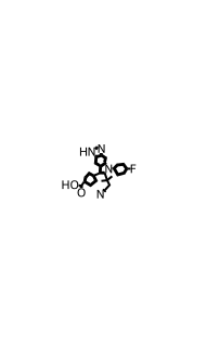 CC(C)(CC#N)c1c(-c2ccc(C(=O)O)cc2)c2cc3[nH]cnc3cc2n1-c1ccc(F)cc1